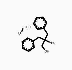 CC(=O)O.NC(CO)(Cc1ccccc1)Cc1ccccc1